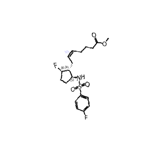 COC(=O)CCC/C=C\C[C@H]1[C@H](F)CC[C@@H]1NS(=O)(=O)c1ccc(F)cc1